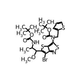 COC(c1sc2c(N(Cc3cccs3)C(=O)OC(C)(C)C)snc2c1Br)C(C)NC(=O)OC(C)(C)C